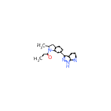 C=CC(=O)N1c2cc(-c3n[nH]c4ncccc34)ccc2CC1C